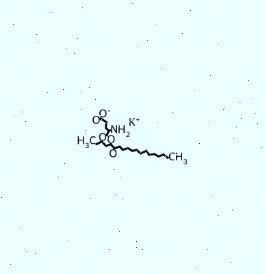 CCCCCCCCCCCCCC(=O)C(CCCC)OC(=O)C(N)CCC(=O)[O-].[K+]